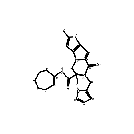 Cc1cc2c(cc3n2CC(C)(C(=O)NC2CCCCCC2)N(Cc2ccco2)C3=O)o1